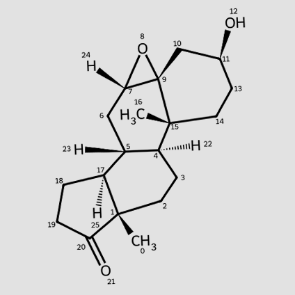 C[C@]12CC[C@H]3[C@@H](C[C@@H]4O[C@@]45C[C@@H](O)CC[C@]35C)[C@@H]1CCC2=O